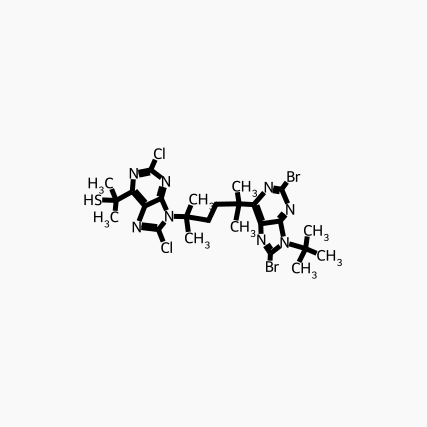 CC(C)(S)c1nc(Cl)nc2c1nc(Cl)n2C(C)(C)CCC(C)(C)c1nc(Br)nc2c1nc(Br)n2C(C)(C)C